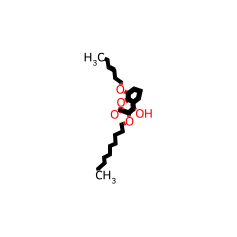 CCC=CCCOc1cccc2c(O)c(OCCCCCCCCCC)c(=O)oc12